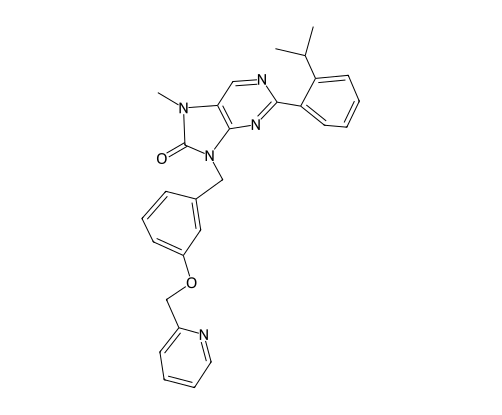 CC(C)c1ccccc1-c1ncc2c(n1)n(Cc1cccc(OCc3ccccn3)c1)c(=O)n2C